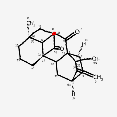 C=C1[C@H]2CCC3(C(=O)CC4[C@@]5(C)CCC[C@@]4(C(=O)OC5)C3C2)[C@H]1O